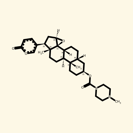 CN1CCN(C(=O)O[C@H]2CC[C@@]3(C)[C@H](CC[C@@H]4[C@@H]3CC[C@]3(C)[C@@H](c5ccc(=O)oc5)C[C@H]5O[C@]453)C2)CC1